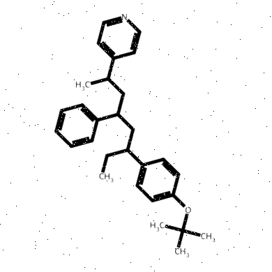 CCC(CC(CC(C)c1ccncc1)c1ccccc1)c1ccc(OC(C)(C)C)cc1